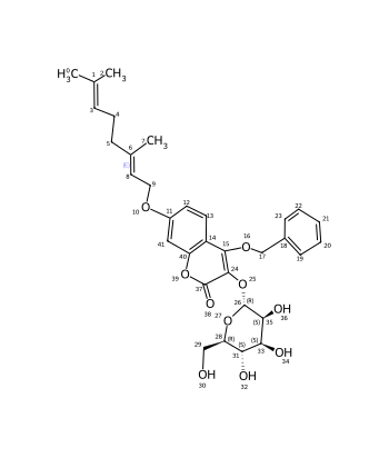 CC(C)=CCC/C(C)=C/COc1ccc2c(OCc3ccccc3)c(O[C@H]3O[C@H](CO)[C@@H](O)[C@H](O)[C@@H]3O)c(=O)oc2c1